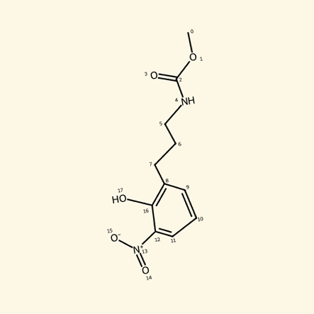 COC(=O)NCCCc1cccc([N+](=O)[O-])c1O